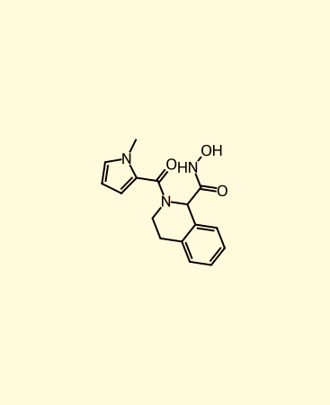 Cn1cccc1C(=O)N1CCc2ccccc2C1C(=O)NO